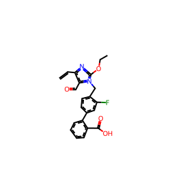 C=Cc1nc(OCC)n(Cc2ccc(-c3ccccc3C(=O)O)cc2F)c1C=O